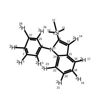 [2H]c1c([2H])c([2H])c(-n2c([Si](C)(C)C)c([2H])c3c([2H])c([2H])c([2H])c([2H])c32)c([2H])c1[2H]